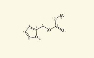 C[CH]OC(=O)OCc1ccco1